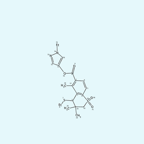 CCSC1c2c(ccc(C(=O)Oc3cnn(CC)c3)c2C)S(=O)(=O)CC1(C)C